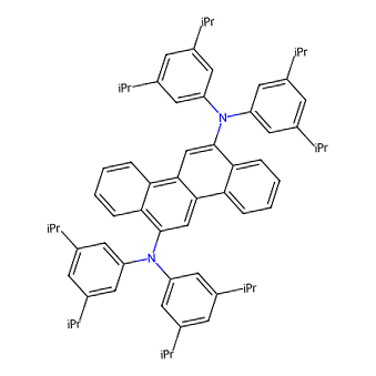 CC(C)c1cc(C(C)C)cc(N(c2cc(C(C)C)cc(C(C)C)c2)c2cc3c4ccccc4c(N(c4cc(C(C)C)cc(C(C)C)c4)c4cc(C(C)C)cc(C(C)C)c4)cc3c3ccccc23)c1